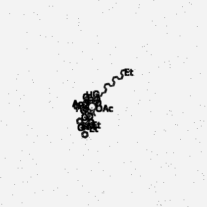 CC/C=C\C/C=C\C/C=C\C/C=C\C/C=C\C/C=C\CCC(=O)O[C@H]1C[C@H]2OC[C@@]2(OC(C)=O)[C@H]2[C@H](OC(=O)c3ccccc3)[C@]3(O)CC4(OC(=O)[C@H](O[Si](CC)(CC)CC)C(NC(=O)c5ccccc5)c5ccccc5)C(C)=C([C@@H](OC(C)=O)C(=O)[C@]12C)[C@@]43C